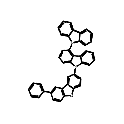 c1ccc(-c2ccc3oc4ccc(-n5c6ccccc6c6c(-n7c8ccccc8c8ccccc87)cccc65)cc4c3c2)cc1